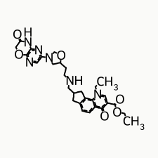 CCOC(=O)c1cn(CC)c2c3c(ccc2c1=O)CC(CNCCC1CN(c2cnc4c(n2)NC(=O)CO4)CO1)C3